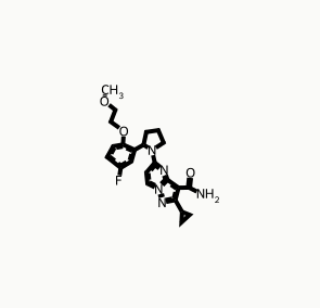 COCCOc1ccc(F)cc1C1CCCN1c1ccn2nc(C3CC3)c(C(N)=O)c2n1